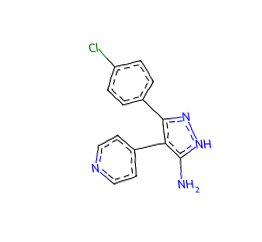 Nc1[nH]nc(-c2ccc(Cl)cc2)c1-c1ccncc1